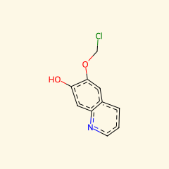 Oc1cc2ncccc2cc1OCCl